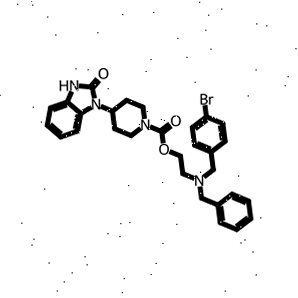 O=C(OCCN(Cc1ccccc1)Cc1ccc(Br)cc1)N1CCC(n2c(=O)[nH]c3ccccc32)CC1